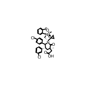 C[C@]1(CC(=O)O)C[C@H](c2cccc(Cl)c2)C(c2ccc(Cl)cc2)N([C@H](CN(c2ccccc2F)S(C)(=O)=O)C2CC2)C1=O